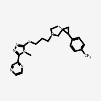 Cn1c(SCCCN2CC[C@@]3(CC3c3ccc(C(F)(F)F)cc3)C2)nnc1-c1cnccn1